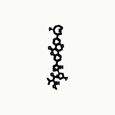 CON[C@H](C(=O)N1C[C@H](F)C[C@H]1c1ncc(-c2ccc3c4c(c(=O)oc3c2)-c2ccc(C3=C/N=C/CC[C@@H](F)C3)cc2OC4)[nH]1)C(C)C